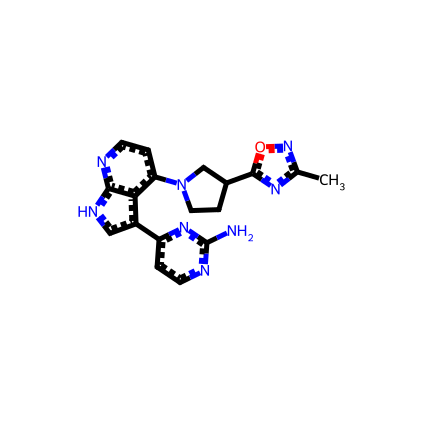 Cc1noc(C2CCN(c3ccnc4[nH]cc(-c5ccnc(N)n5)c34)C2)n1